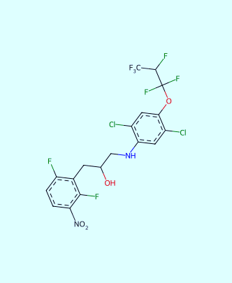 O=[N+]([O-])c1ccc(F)c(CC(O)CNc2cc(Cl)c(OC(F)(F)C(F)C(F)(F)F)cc2Cl)c1F